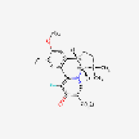 CCCCOc1cc2c(cc1C)-c1c(F)c(=O)c(C(=O)OCC)cn1[C@@H]1[C@H]2CCC1(C)C